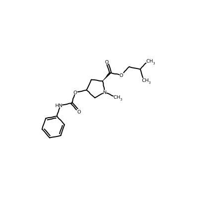 CC(C)COC(=O)[C@@H]1CC(OC(=O)Nc2ccccc2)CN1C